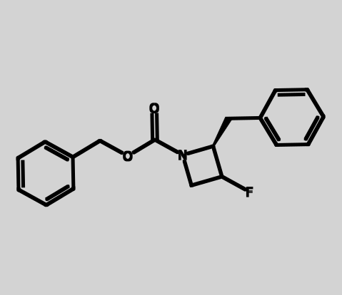 O=C(OCc1ccccc1)N1CC(F)[C@@H]1Cc1ccccc1